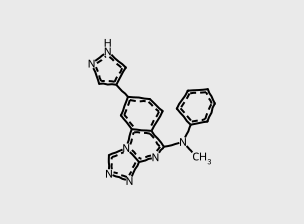 CN(c1ccccc1)c1nc2nncn2c2cc(-c3cn[nH]c3)ccc12